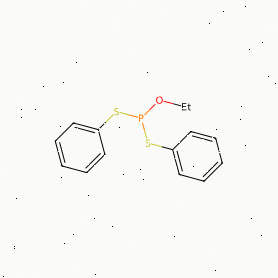 CCOP(Sc1ccccc1)Sc1ccccc1